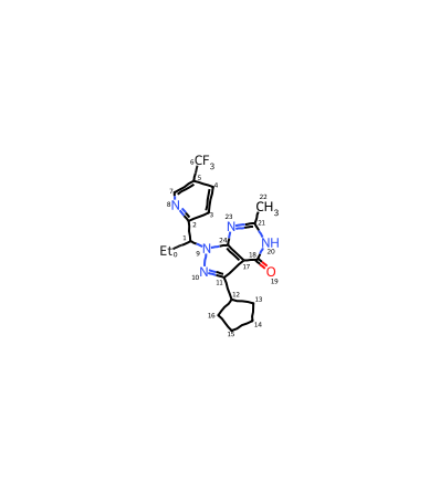 CCC(c1ccc(C(F)(F)F)cn1)n1nc(C2CCCC2)c2c(=O)[nH]c(C)nc21